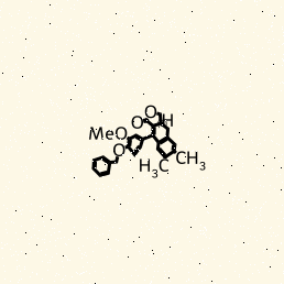 COc1cc(C2=C3C(=O)OC[C@H]3Cc3cc(C)c(C)cc32)ccc1OCc1ccccc1